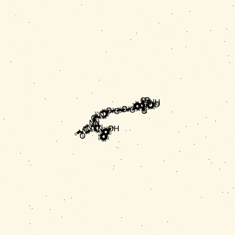 C=CC(=O)N1CCN(c2nc(O[C@H](C)CN3CCC(OCCOCCOCCOc4ccc5c(c4)C(=O)N(C4CCC(=O)NC4=O)C5=O)CC3)nc3c2CCN(c2cc(O)cc4ccccc24)C3)CC1